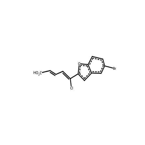 O=C(O)/C=C/C=C(\Cl)c1cc2cc(Br)ccc2o1